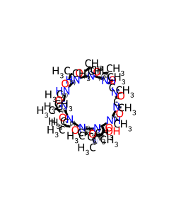 C/C=C/C[C@@H](C)[C@@H](O)[C@H]1C(=O)N[C@@H](CC)C(=O)N(C)CC(=O)N(C)CC(=O)N[C@@H](CC(C)C)C(=O)N(C)[C@@H](CC(C)C)C(=O)N[C@@H](CC(C)C)C(=O)N[C@H](C)C(=O)N(C)[C@@H](CC(C)C)C(=O)N(C)[C@@H](CC(C)C)C(=O)N(C)[C@@H](C(C)C)C(=O)N1C